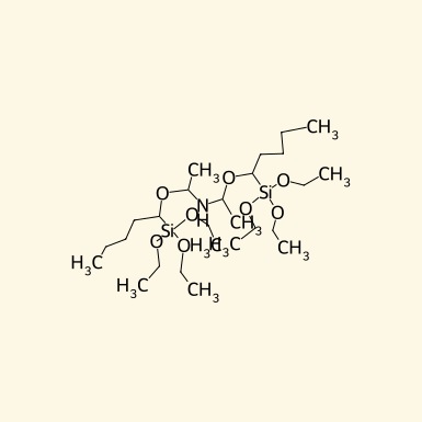 CCCCC(OC(C)NC(C)OC(CCCC)[Si](OCC)(OCC)OCC)[Si](OCC)(OCC)OCC